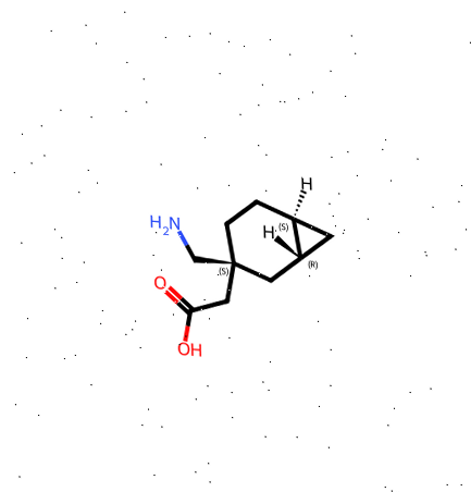 NC[C@@]1(CC(=O)O)CC[C@H]2C[C@@H]2C1